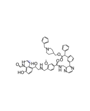 C/C=C\c1c(C(O)CNCc2ccc(C(=O)NCc3nccnc3-c3cccc(C(C(=O)OCC4CCN(Cc5ccccc5)CC4)c4ccccc4)c3)cc2OC)ccc(O)c1NC=O